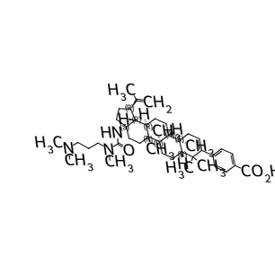 C=C(C)[C@@H]1CC[C@]2(NC(=O)N(C)CCCN(C)C)CC[C@]3(C)[C@H](CC[C@@H]4[C@@]5(C)CC=C(c6ccc(C(=O)O)cc6)C(C)(C)[C@@H]5CC[C@]43C)[C@@H]12